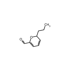 CCCC1C=CC=C(C=O)O1